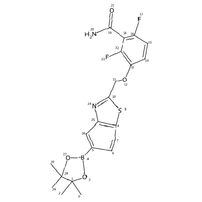 CC1(C)OB(c2ccc3sc(COc4ccc(F)c(C(N)=O)c4F)nc3c2)OC1(C)C